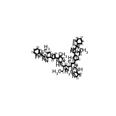 CCn1nc(-c2nc(Nc3c(F)cnn3C)nc(-c3cc4n(c3)C[C@H](C)n3c-4nnc3C(F)(F)c3ccccc3F)c2C)cc1Nc1ncc(C)c(-c2cc3n(c2)C[C@H](C)n2c-3nnc2C(F)(F)c2ccccc2F)n1